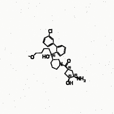 COCCCC[C@@](O)(c1ccccc1-c1cccc(Cl)c1)C1CCCN(C(=O)[C@H]2C[C@@H](N)[C@@H](O)C2)C1